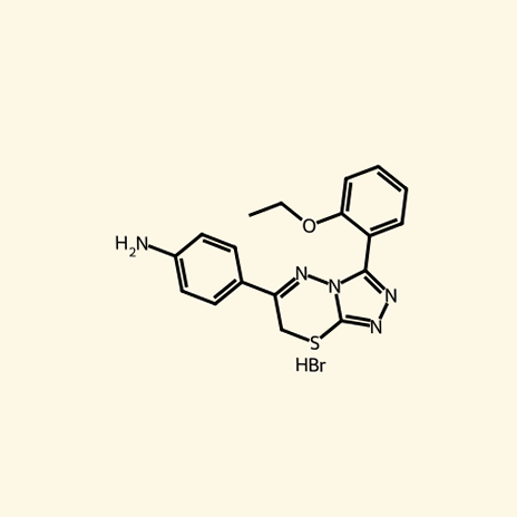 Br.CCOc1ccccc1-c1nnc2n1N=C(c1ccc(N)cc1)CS2